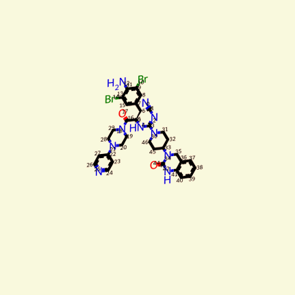 N#CN=C(N[C@H](Cc1cc(Br)c(N)c(Br)c1)C(=O)N1CCN(c2ccncc2)CC1)N1CCC(N2Cc3ccccc3NC2=O)CC1